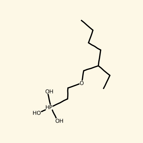 CCCCC(CC)COCC[PH](O)(O)O